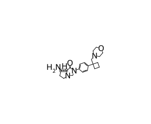 N[C@@H]1CCN2CN(c3ccc(C4(CN5CCOCC5)CCC4)cc3)C(=O)[C@H]12